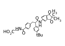 CC1(C)C(=O)c2ccc(NC(=O)C(Cc3ccc(C(=O)NCCC(=O)O)cc3)c3ccc(C(C)(C)C)cc3)cc2C1=O